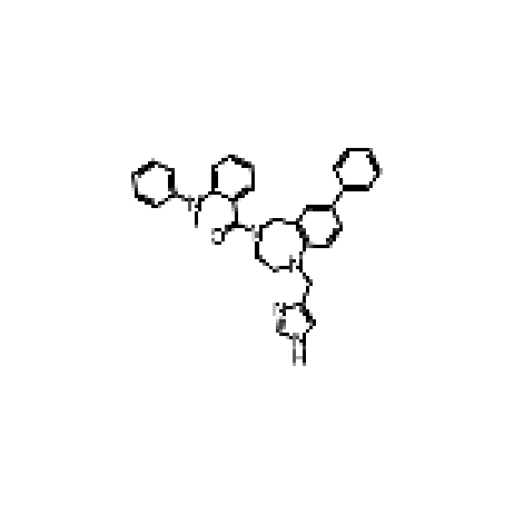 CN(c1ccccc1)c1ccccc1C(=O)N1CCN(Cc2c[nH]cn2)c2ccc(-c3ccccc3)cc2C1